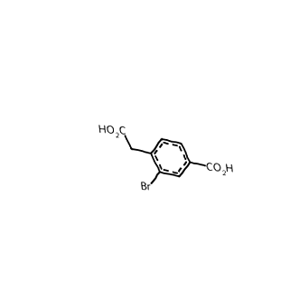 O=C(O)Cc1ccc(C(=O)O)cc1Br